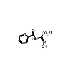 CCOC(=O)/C(=N/O)NC(=O)c1ccccn1